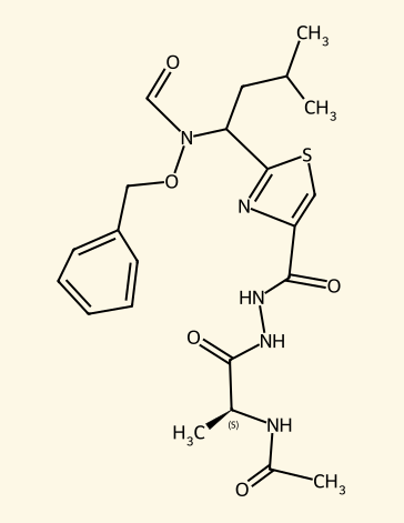 CC(=O)N[C@@H](C)C(=O)NNC(=O)c1csc(C(CC(C)C)N(C=O)OCc2ccccc2)n1